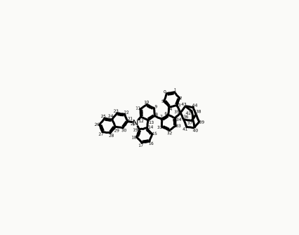 c1ccc2c(c1)-c1c(-c3cccc4c3c3ccccc3n4-c3ccc4ccccc4c3)cccc1C21C2CC3CC(C2)CC1C3